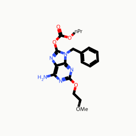 CCCOC(=O)Oc1nc2c(N)nc(OCCOC)nc2n1Cc1ccccc1